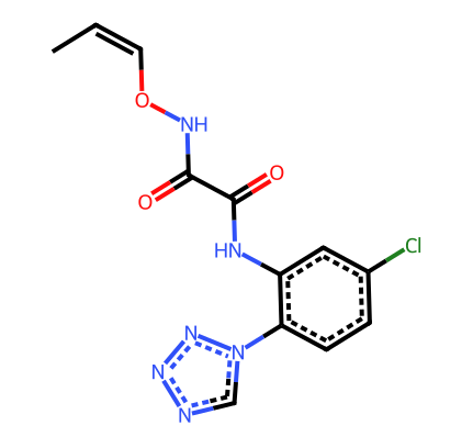 C/C=C\ONC(=O)C(=O)Nc1cc(Cl)ccc1-n1cnnn1